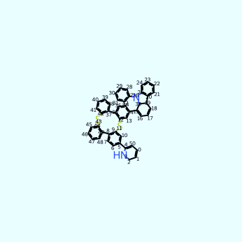 C1=CCNC(c2ccc3c(c2)Sc2cc(C4=CC=CC5c6ccccc6N(c6ccccc6)C45)ccc2-c2ccccc2Sc2ccccc2-3)=C1